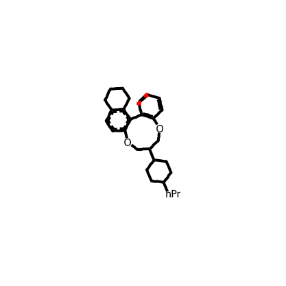 CCCC1CCC(C2COC3=C(c4c(ccc5c4CCCC5)OC2)C2CCCCC2C=C3)CC1